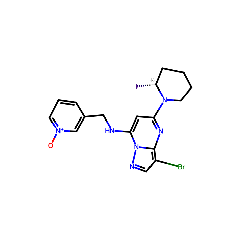 [O-][n+]1cccc(CNc2cc(N3CCCC[C@H]3I)nc3c(Br)cnn23)c1